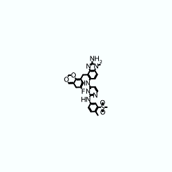 Cc1ccc(Nc2nccc(Nc3ccc4c(nc(N)n4C)c3CC3=C4OCOC=C4CC(F)=C3)n2)cc1S(C)(=O)=O